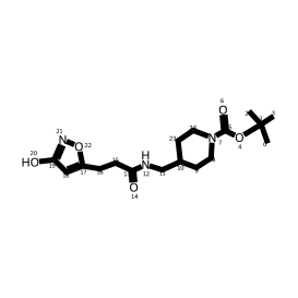 CC(C)(C)OC(=O)N1CCC(CNC(=O)CCc2cc(O)no2)CC1